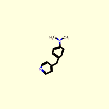 CN(C)c1ccc([CH]c2ccncc2)cc1